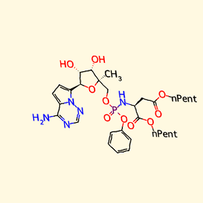 CCCCCOC(=O)C[C@H](NP(=O)(OC[C@@]1(C)O[C@@H](c2ccc3c(N)ncnn23)[C@H](O)[C@@H]1O)Oc1ccccc1)C(=O)OCCCCC